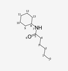 [CH2]CCCCC(=O)NC1CCCCC1